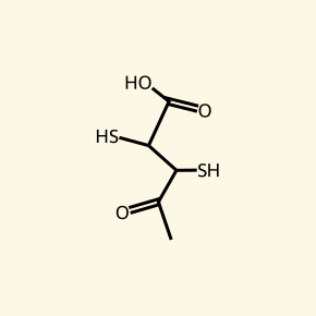 CC(=O)C(S)C(S)C(=O)O